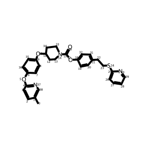 Cc1ccc(Oc2ccc(OC3CCN(C(=O)Oc4ccc(CCSc5ccccn5)cc4)CC3)cc2)nc1